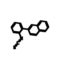 S=C=Nc1ccccc1-c1ccc2ccccc2c1